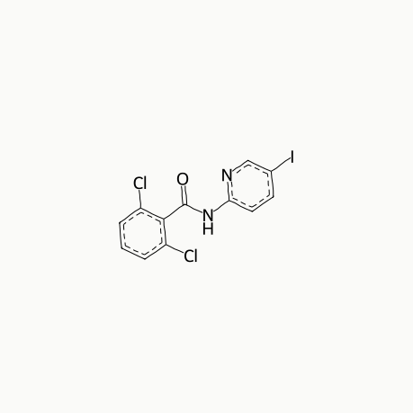 O=C(Nc1ccc(I)cn1)c1c(Cl)cccc1Cl